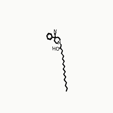 CCCCCCCCCCCCCCCCC(O)CN1CCC(C#N)(c2ccccc2)CC1